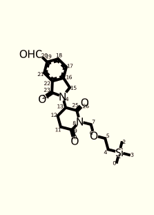 C[Si](C)(C)CCOCN1C(=O)CCC(N2Cc3ccc(C=O)cc3C2=O)C1=O